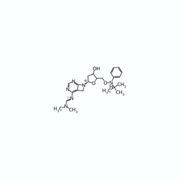 CN(C)/C=N/c1ncnc2c1CN2[C@H]1CC(O)C(CO[SiH](c2ccccc2)C(C)(C)C)O1